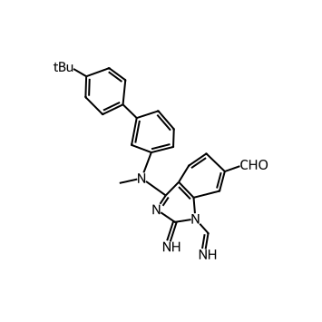 CN(c1cccc(-c2ccc(C(C)(C)C)cc2)c1)c1nc(=N)n(C=N)c2cc(C=O)ccc12